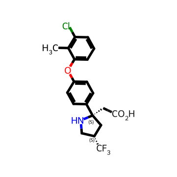 Cc1c(Cl)cccc1Oc1ccc([C@@]2(CC(=O)O)C[C@H](C(F)(F)F)CN2)cc1